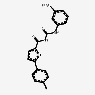 Cc1ccc(-c2ccc(C(=O)NC(=S)Nc3cccc(C(=O)O)c3)o2)cc1